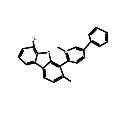 Cc1ccc2c(oc3c(C#N)cccc32)c1-c1ccc(-c2ccccc2)c[n+]1C